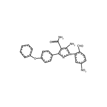 NC(=O)c1c(-c2ccc(Oc3ccccc3)cc2)nn(-c2cc([N+](=O)[O-])ccc2C=O)c1N